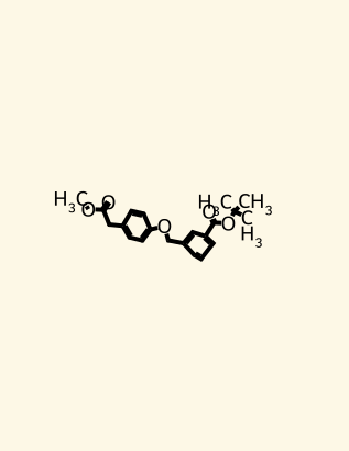 COC(=O)Cc1ccc(OCc2cccc(C(=O)OC(C)(C)C)c2)cc1